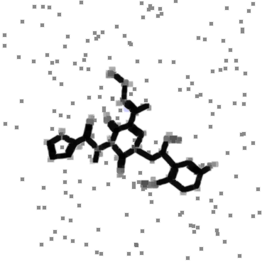 COC1=C(C(Cn2cc(/C(C)=N/OC(C)C)c(=O)n(N(C)C(=O)c3cccs3)c2=O)OC)C=C(F)CC1